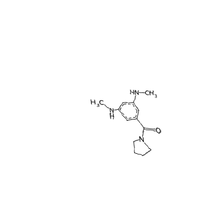 CNc1cc(NC)cc(C(=O)N2CCCC2)c1